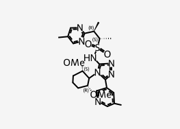 CO[C@H]1CCC[C@@H](OC)C1n1c(NS(=O)(=O)[C@@H](C)[C@H](C)c2ncc(C)cn2)nnc1-c1cncc(C)c1